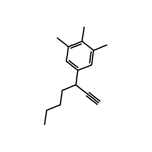 [C]#CC(CCCC)c1cc(C)c(C)c(C)c1